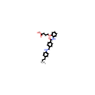 CCCc1ccc(NCc2ccc(C(=O)Nc3ccccc3OCCCC(=O)O)cc2)cc1